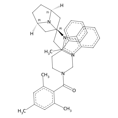 Cc1cc(C)c(C(=O)N2CCC(CCN3[C@@H]4CC[C@H]3C[C@@H](n3c(C)nc5ccccc53)C4)(c3ccccc3)CC2)c(C)c1